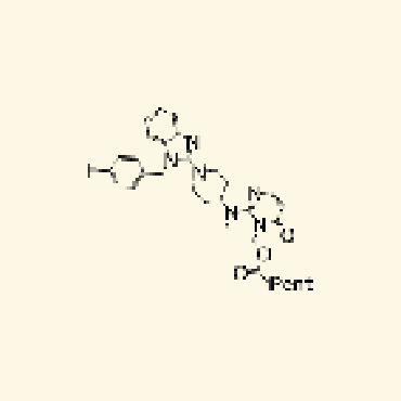 CCCC(C)C(=O)OCn1c(N(C)C2CCN(c3nc4ccccc4n3Cc3ccc(F)cc3)CC2)nccc1=O